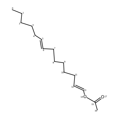 CCCCCC=CCCCCCC=COC(C)=O